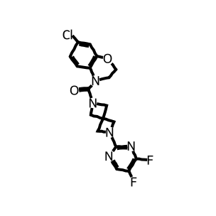 O=C(N1CC2(C1)CN(c1ncc(F)c(F)n1)C2)N1CCOc2cc(Cl)ccc21